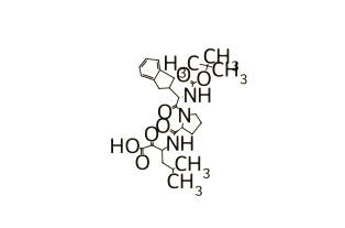 CC(C)CC(NC(=O)[C@@H]1CCCN1C(=O)[C@@H](NC(=O)OC(C)(C)C)C1Cc2ccccc2C1)C(=O)C(=O)O